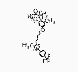 Cc1cc(OCCCCCc2sc(-c3ccc(C(F)(F)F)cc3)nc2C)ccc1OC(C)(C)C(=O)O